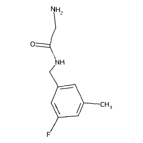 Cc1cc(F)cc(CNC(=O)CN)c1